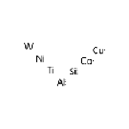 [Al].[Co].[Cu].[Ni].[Si].[Ti].[W]